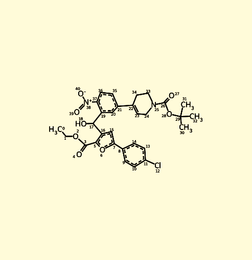 CCOC(=O)c1oc(-c2ccc(Cl)cc2)cc1C(O)c1cc(C2=CCN(C(=O)OC(C)(C)C)CC2)ccc1[N+](=O)[O-]